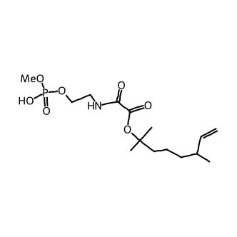 C=CC(C)CCCC(C)(C)OC(=O)C(=O)NCCOP(=O)(O)OC